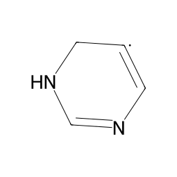 [C]1=CN=CNC1